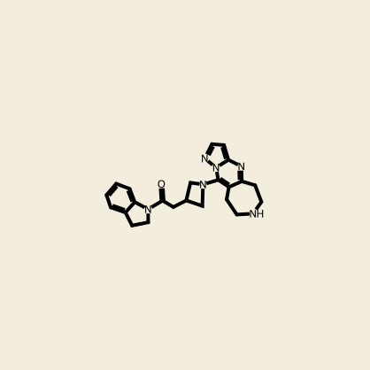 O=C(CC1CN(c2c3c(nc4ccnn24)CCNCC3)C1)N1CCc2ccccc21